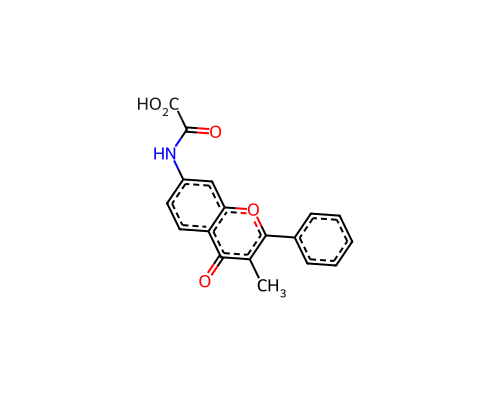 Cc1c(-c2ccccc2)oc2cc(NC(=O)C(=O)O)ccc2c1=O